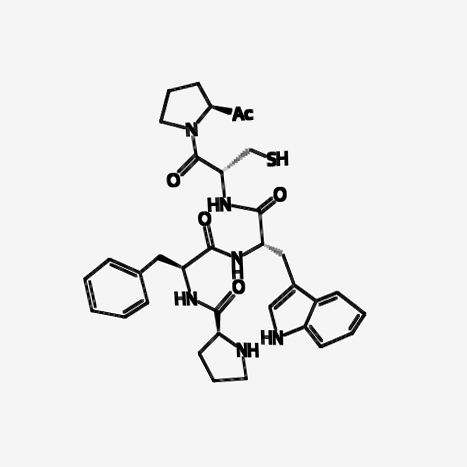 CC(=O)[C@@H]1CCCN1C(=O)[C@H](CS)NC(=O)[C@H](Cc1c[nH]c2ccccc12)NC(=O)[C@H](Cc1ccccc1)NC(=O)[C@@H]1CCCN1